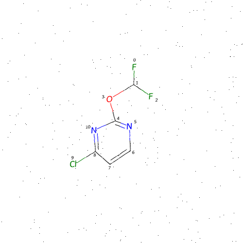 FC(F)Oc1nccc(Cl)n1